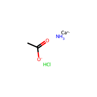 CC(=O)[O-].Cl.N.[Ca+]